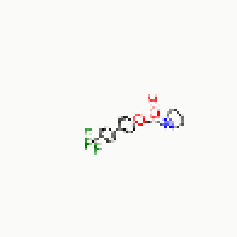 OC(COc1ccc(-c2ccc(C(F)(F)F)cc2)cc1)CN1CCCCC1